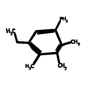 CCc1cc(P)c(C)c(C)c1C